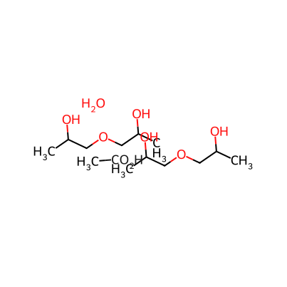 CC(=O)O.CC(O)COCC(C)O.CC(O)COCC(C)O.O